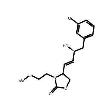 CCCCSCCN1C(=O)OC[C@@H]1/C=C/[C@@H](O)Cc1cccc(Cl)c1